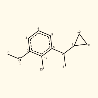 CSc1cccc(C(C)C2CC2)c1C